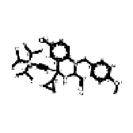 COc1ccc(CN2c3ccc(Cl)cc3[C@@](C#C[Si](C(C)C)(C(C)C)C(C)C)(C3CC3)NC2C=O)cc1